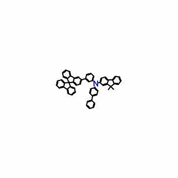 CC1(C)c2ccccc2-c2ccc(N(c3ccc(-c4ccccc4)cc3)c3cccc(-c4ccc5c(c4)-c4ccccc4C54c5ccccc5-c5ccccc54)c3)cc21